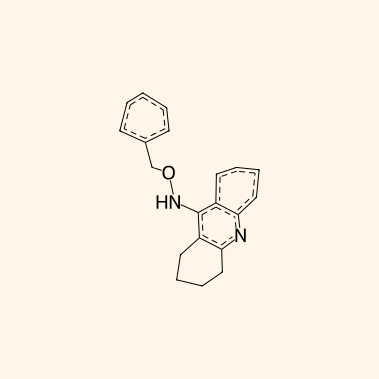 c1ccc(CONc2c3c(nc4ccccc24)CCCC3)cc1